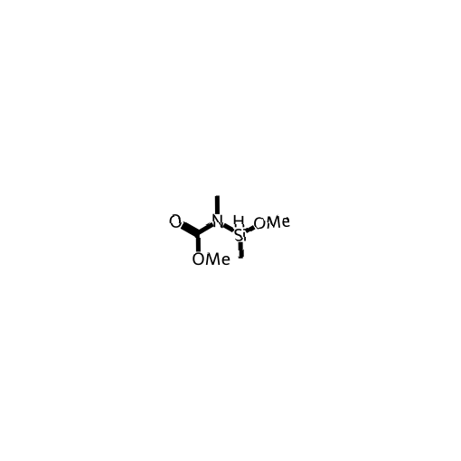 COC(=O)N(C)[SiH](C)OC